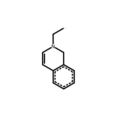 [CH2]CN1C=Cc2ccccc2C1